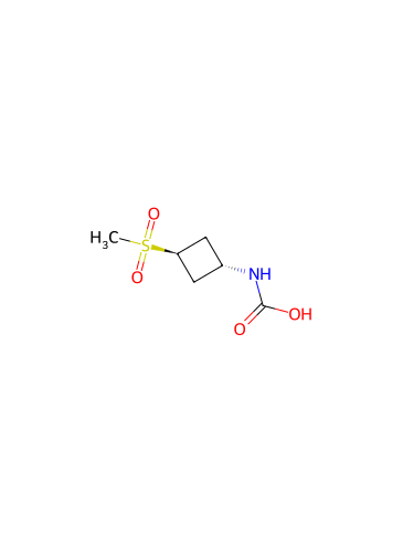 CS(=O)(=O)[C@H]1C[C@H](NC(=O)O)C1